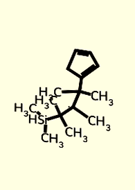 C[C](C(C)(C)C1=CC=CC1)C(C)(C)[SiH](C)C